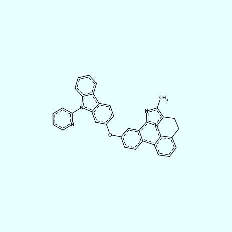 Cc1nc2c3cc(Oc4ccc5c6ccccc6n(-c6ccccn6)c5c4)ccc3c3cccc4c3n2c1CC4